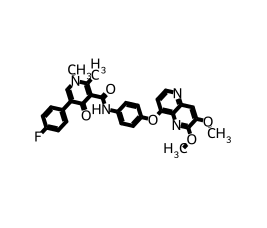 COc1cc2nccc(Oc3ccc(NC(=O)c4c(C)n(C)cc(-c5ccc(F)cc5)c4=O)cc3)c2nc1OC